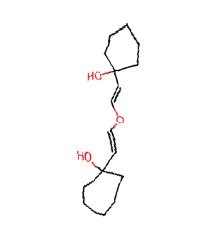 OC1(C=COC=CC2(O)CCCCC2)CCCCC1